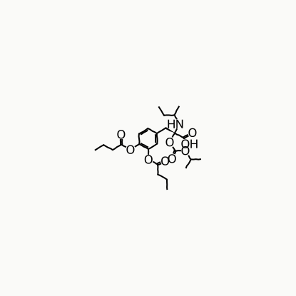 CCCC(=O)Oc1ccc(C[C@](NC(C)CC)(OC(=O)OC(C)C)C(=O)O)cc1OC(=O)CCC